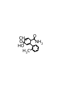 COC1(O)C=CC(C(N)=O)C(c2ccccc2C)=C1